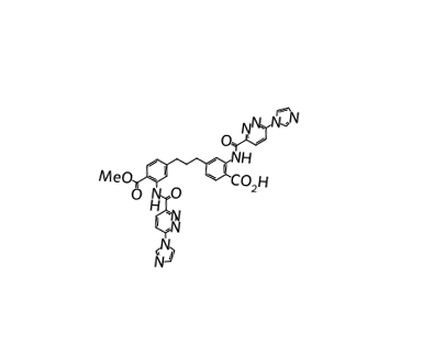 COC(=O)c1ccc(CCCc2ccc(C(=O)O)c(NC(=O)c3ccc(-n4ccnc4)nn3)c2)cc1NC(=O)c1ccc(-n2ccnc2)nn1